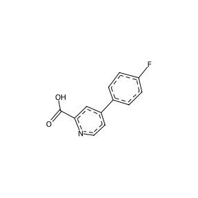 O=C(O)c1cc(-c2ccc(F)cc2)ccn1